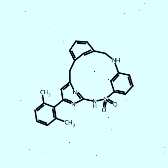 Cc1cccc(C)c1-c1cc2nc(n1)NS(=O)(=O)c1cccc(c1)NCc1cccc(c1)C2